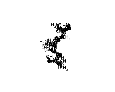 C=C/C=C(\C=C/C)CN1CC(c2cc(N3CCc4c(nc(OC[C@@H]5CCCN5CCO)nc4N4CCN(C(=O)C(=C)F)[C@@H](CC#N)C4)C3)c3c(C)cccc3c2)C[C@H]1COc1nc2c(c(N3CCN(C(=O)C(=C)F)[C@@H](CC#N)C3)n1)CCN(c1ccc(C3C[C@@H](COc4nc5c(c(N6CCN(C(=O)C(=C)F)[C@@H](CC#N)C6)n4)CCN(c4cccc6ccnc(Cl)c46)C5)N(C)C3)c3cccc(C)c13)C2